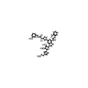 O=C(NCc1cccc(O)c1)NC1CCN(c2nc(N[C@H](CO)Cc3ccccc3)c3ncn([C@@H]4O[C@H](c5nnn(CCO)n5)[C@@H](O)[C@H]4O)c3n2)C1